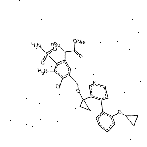 CCCC[C@H](C(=O)OC)c1cc(COC2(c3cnccc3-c3ccccc3OC3CC3)CC2)c(Cl)c(N)c1S(N)(=O)=O